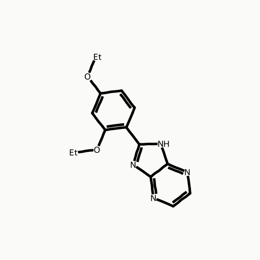 CCOc1ccc(-c2nc3nccnc3[nH]2)c(OCC)c1